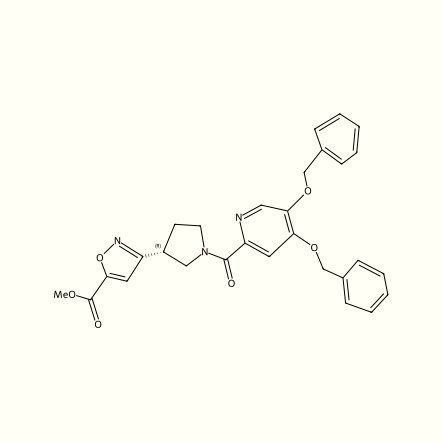 COC(=O)c1cc([C@@H]2CCN(C(=O)c3cc(OCc4ccccc4)c(OCc4ccccc4)cn3)C2)no1